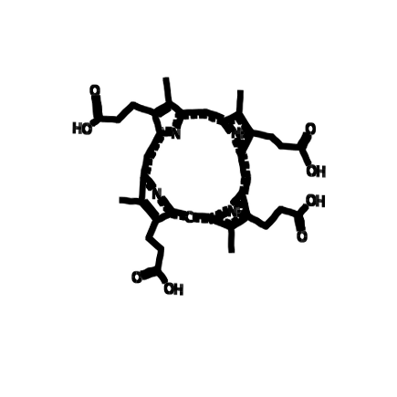 CC1=C(CCC(=O)O)c2cc3nc(cc4[nH]c(cc5[nH]c(cc1n2)c(C)c5CCC(=O)O)c(CCC(=O)O)c4C)C(CCC(=O)O)=C3C